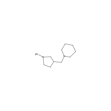 CC(C)N1CCC(CN2CCCCC2)C1